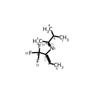 C/C=C(\N=C(/C)C(C)C)C(F)(F)F